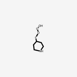 OOOSC1CCNCC1